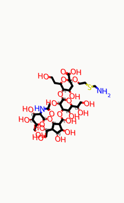 CC(=O)NC1[C@@H](O[C@H]2C([C@H](O)OC3[C@H](O)C([C@@H](O)CO)O[C@H](O[C@@H]4C(O)C[C@](OCCSCN)(C(=O)O)OC4CCO)[C@@H]3O)C(O)[C@H](O)C2[C@@H](O)CO)OC(CO)[C@@H](O)[C@H]1O